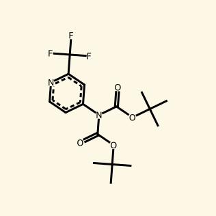 CC(C)(C)OC(=O)N(C(=O)OC(C)(C)C)c1ccnc(C(F)(F)F)c1